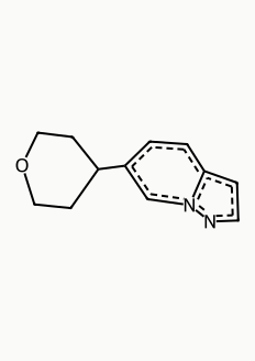 c1cc2ccc(C3CCOCC3)cn2n1